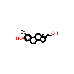 CCc1cc2c(cc1O)CCC1C2CCC2(C)/C(=C/CO)CCC12